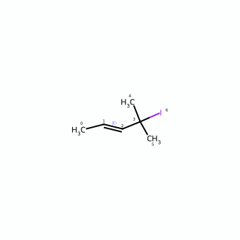 C/C=C/C(C)(C)I